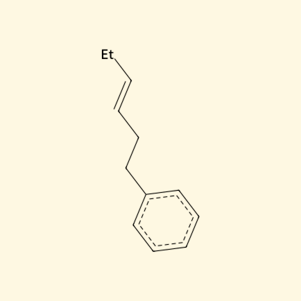 [CH2]C/C=C/CCc1ccccc1